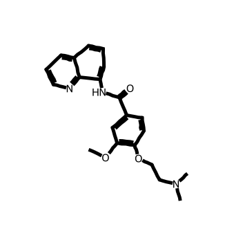 COc1cc(C(=O)Nc2cccc3cccnc23)ccc1OCCN(C)C